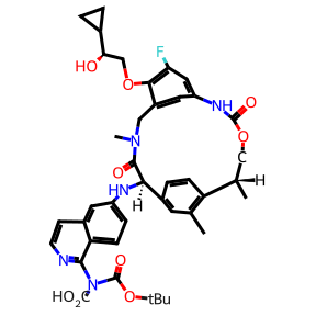 Cc1cc2ccc1[C@@H](C)COC(=O)Nc1cc(F)c(OC[C@@H](O)C3CC3)c(c1)CN(C)C(=O)[C@@H]2Nc1ccc2c(N(C(=O)O)C(=O)OC(C)(C)C)nccc2c1